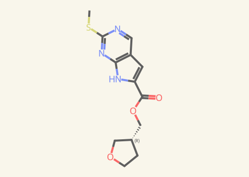 CSc1ncc2cc(C(=O)OC[C@@H]3CCOC3)[nH]c2n1